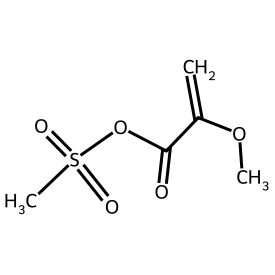 C=C(OC)C(=O)OS(C)(=O)=O